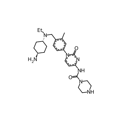 CCN(Cc1ccc(-n2ccc(NC(=O)N3CCNCC3)nc2=O)cc1C)[C@H]1CC[C@H](N)CC1